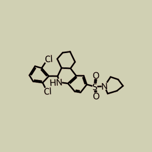 O=S(=O)(c1ccc2c(c1)C1CCCCC1C(c1c(Cl)cccc1Cl)N2)N1CCCCC1